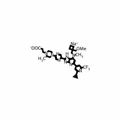 COCC1(CN(C)c2cc(-c3cc(C4CC4)nc(C(F)(F)F)c3)nc3nc(-c4cnc(N5CCN(CCC(=O)[O-])[C@H](C)C5)cn4)[nH]c23)CCC1.[Na+]